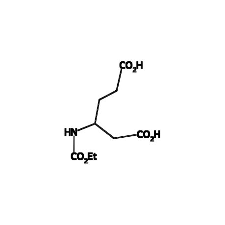 CCOC(=O)NC(CCC(=O)O)CC(=O)O